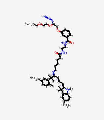 CCN1/C(=C/C=C/C(=N\CCCCCC(=O)NCCNC(=O)c2cccc(OCC(N=[N+]=[N-])OCCOCC(=O)O)c2)C(C)(C)c2cc(S(=O)(=O)O)ccc2C)C(C)(C)c2cc(S(=O)(=O)O)ccc21